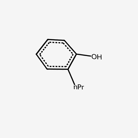 [CH2]CCc1ccccc1O